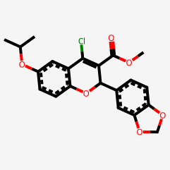 COC(=O)C1=C(Cl)c2cc(OC(C)C)ccc2OC1c1ccc2c(c1)OCO2